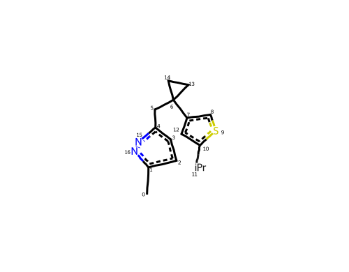 Cc1ccc(CC2(c3csc(C(C)C)c3)CC2)nn1